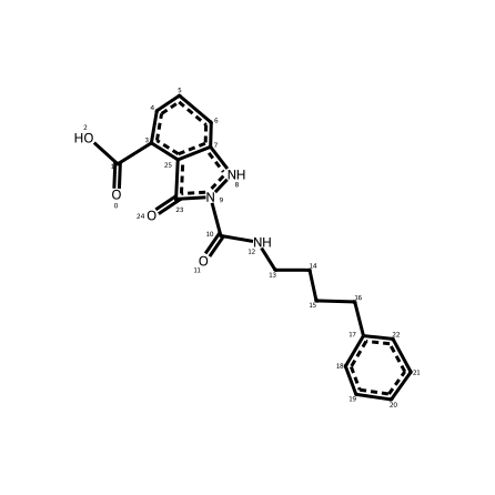 O=C(O)c1cccc2[nH]n(C(=O)NCCCCc3ccccc3)c(=O)c12